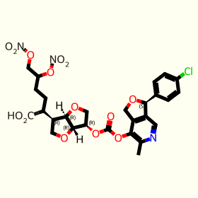 Cc1ncc2c(c1OC(=O)O[C@@H]1CO[C@H]3[C@H]1OC[C@H]3C(CCC(CO[N+](=O)[O-])O[N+](=O)[O-])C(=O)O)CO[C@H]2c1ccc(Cl)cc1